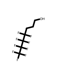 OCC[CH]C(F)(F)C(F)(F)C(F)(F)C(F)(F)F